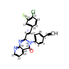 C#Cc1ccc(-n2c(/C=C/c3ccc(Cl)c(F)c3)nc3ncccc3c2=O)cc1